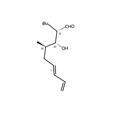 C=C/C=C/C[C@@H](C)[C@@H](O)[C@@H](C=O)C(C)CC